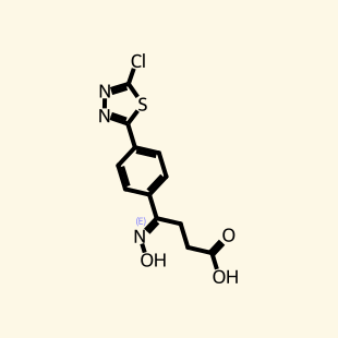 O=C(O)CC/C(=N\O)c1ccc(-c2nnc(Cl)s2)cc1